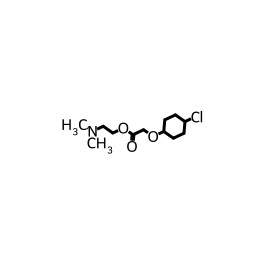 CN(C)CCOC(=O)COC1CCC(Cl)CC1